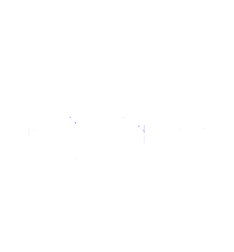 O=C(NCC1CC1)c1csc(Br)n1